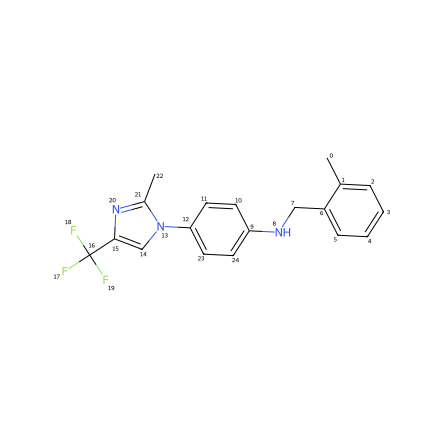 Cc1ccccc1CNc1ccc(-n2cc(C(F)(F)F)nc2C)cc1